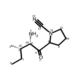 CC[C@H](C)[C@H](N)C(=O)C1CCCN1C#N